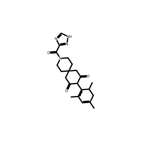 CC1=CC(C)=C(C2C(=O)CC3(CCN(C(=O)c4nc[nH]n4)CC3)CC2=O)C(C)C1